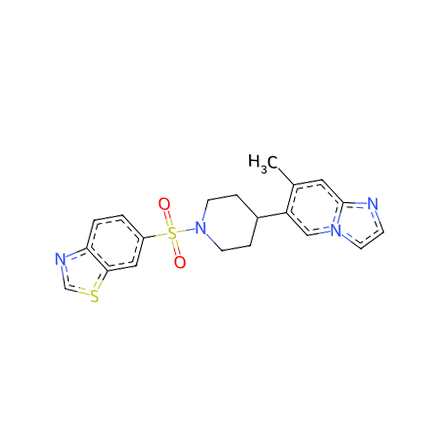 Cc1cc2nccn2cc1C1CCN(S(=O)(=O)c2ccc3ncsc3c2)CC1